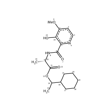 COc1ccnc(C(=O)N[C@@H](C)C(=O)OC(C)C2CCCCC2)c1O